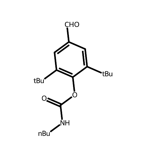 CCCCNC(=O)Oc1c(C(C)(C)C)cc(C=O)cc1C(C)(C)C